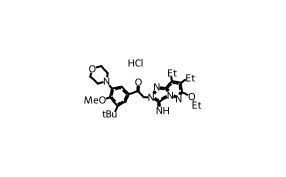 CCOc1nn2c(=N)n(CC(=O)c3cc(N4CCOCC4)c(OC)c(C(C)(C)C)c3)nc2c(CC)c1CC.Cl